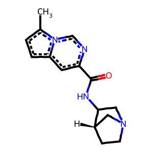 Cc1ccc2cc(C(=O)NC3CN4CC[C@H]3C4)ncn12